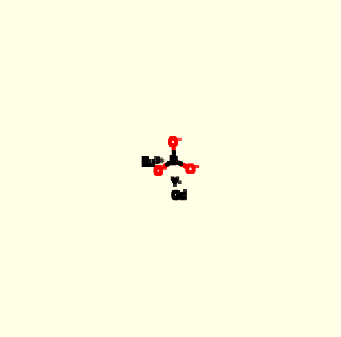 [Eu+3].[Gd].[O-]B([O-])[O-].[Y]